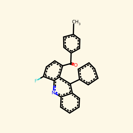 Cc1ccc(C(=O)c2ccc(F)c3nc4ccccc4c(-c4ccccc4)c23)cc1